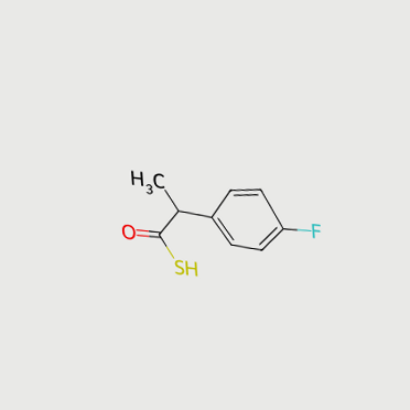 CC(C(=O)S)c1ccc(F)cc1